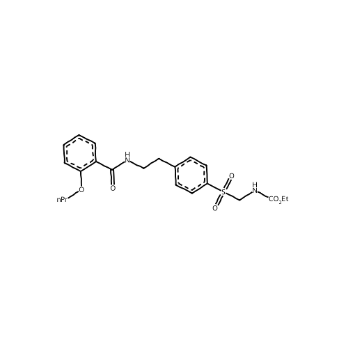 CCCOc1ccccc1C(=O)NCCc1ccc(S(=O)(=O)CNC(=O)OCC)cc1